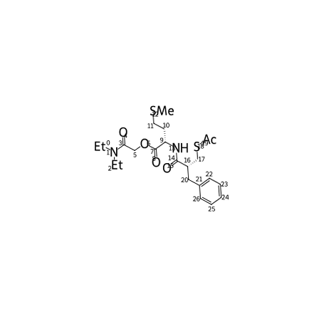 CCN(CC)C(=O)COC(=O)[C@H](CCSC)NC(=O)[C@H](CSC(C)=O)Cc1ccccc1